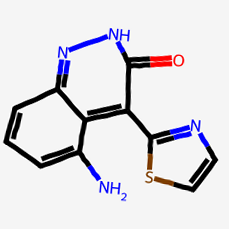 Nc1cccc2n[nH]c(=O)c(-c3nccs3)c12